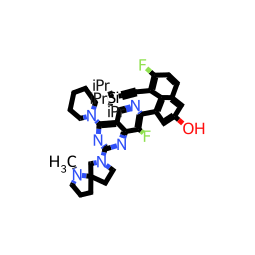 CC(C)[Si](C#Cc1c(F)ccc2cc(O)cc(-c3ncc4c(N5CCCCC5)nc(N5CCC6(CCCN6C)C5)nc4c3F)c12)(C(C)C)C(C)C